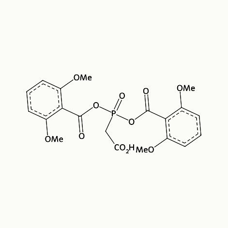 COc1cccc(OC)c1C(=O)OP(=O)(CC(=O)O)OC(=O)c1c(OC)cccc1OC